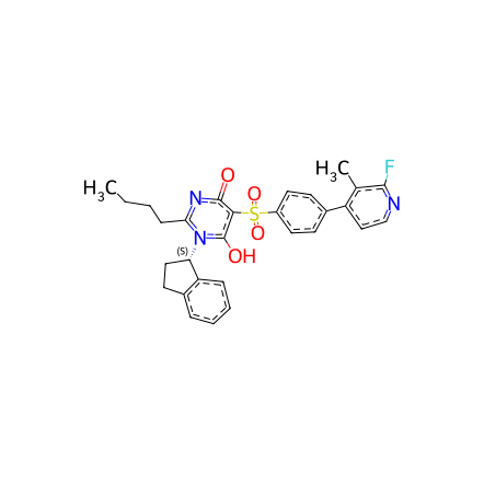 CCCCc1nc(=O)c(S(=O)(=O)c2ccc(-c3ccnc(F)c3C)cc2)c(O)n1[C@H]1CCc2ccccc21